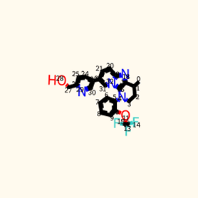 CC1CCN(c2ccccc2OC(F)(F)F)c2c1nc1ccc(-c3ccc(CO)nc3)cn21